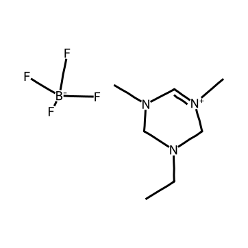 CCN1CN(C)C=[N+](C)C1.F[B-](F)(F)F